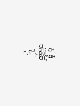 C=CC[N+](C)(C)C(CC)CO.[Cl-]